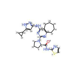 O=C(Nc1nccs1)[C@H]1CCCN1c1nc2c(c(Nc3cc(C4CC4)[nH]n3)n1)CCCCC2